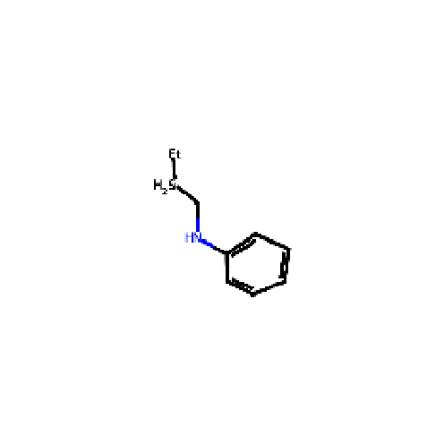 CC[SiH2]CNc1ccccc1